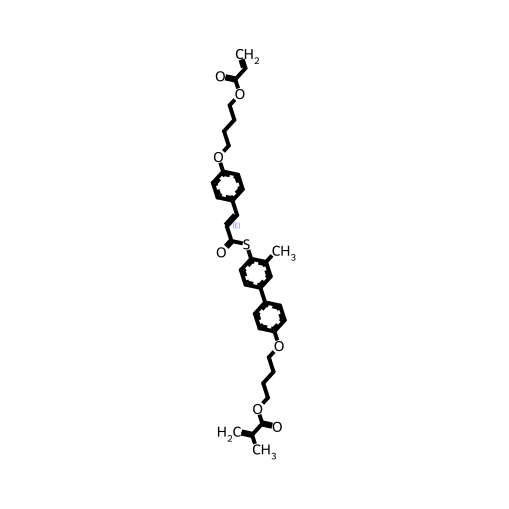 C=CC(=O)OCCCCOc1ccc(/C=C/C(=O)Sc2ccc(-c3ccc(OCCCCOC(=O)C(=C)C)cc3)cc2C)cc1